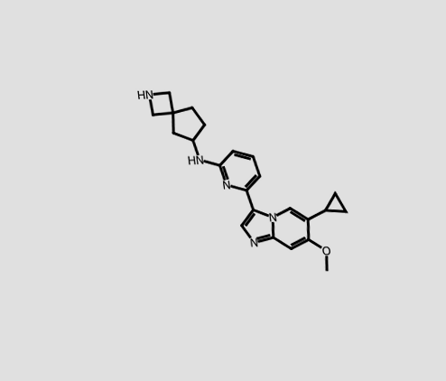 COc1cc2ncc(-c3cccc(NC4CCC5(CNC5)C4)n3)n2cc1C1CC1